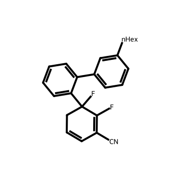 CCCCCCc1cccc(-c2ccccc2C2(F)CC=CC(C#N)=C2F)c1